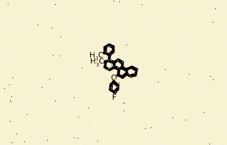 Cc1ccccc1C1=c2ccc3c(c2CCC1C)C(Oc1ccc(F)cc1)C=c1ccccc1=3